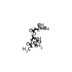 C=CC(=O)OCC(COC(=O)CCN(C)CCCC)NC(=O)OP